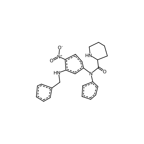 O=C(C1CCCCN1)N(c1ccccc1)c1ccc([N+](=O)[O-])c(NCc2ccccc2)c1